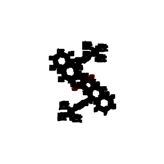 CC[Si](C#Cc1c2ccccc2cc2sc3c(sc4cc5ccccc5c(C#C[Si](CC)(CC)CC)c43)c12)(CC)CC